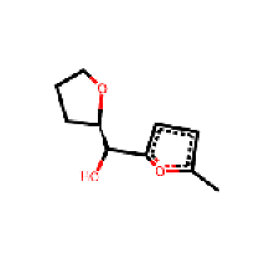 Cc1ccc(C(O)[C@H]2CCCO2)o1